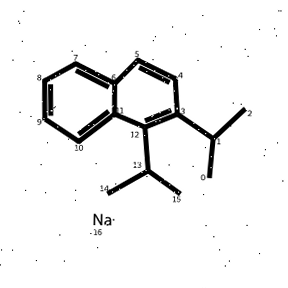 CC(C)c1ccc2ccccc2c1C(C)C.[Na]